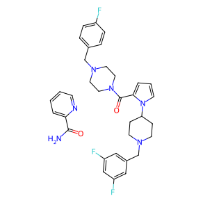 NC(=O)c1ccccn1.O=C(c1cccn1C1CCN(Cc2cc(F)cc(F)c2)CC1)N1CCN(Cc2ccc(F)cc2)CC1